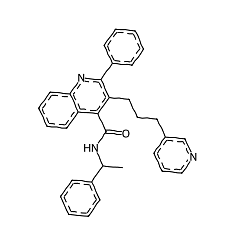 CC(NC(=O)c1c(CCCc2cccnc2)c(-c2ccccc2)nc2ccccc12)c1ccccc1